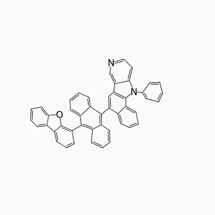 c1ccc(-n2c3ccncc3c3cc(-c4c5ccccc5c(-c5cccc6c5oc5ccccc56)c5ccccc45)c4ccccc4c32)cc1